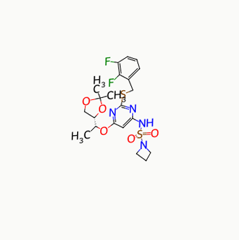 CC(Oc1cc(NS(=O)(=O)N2CCC2)nc(SCc2cccc(F)c2F)n1)[C@@H]1COC(C)(C)O1